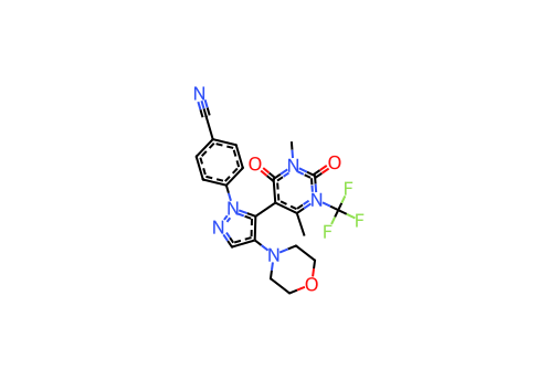 Cc1c(-c2c(N3CCOCC3)cnn2-c2ccc(C#N)cc2)c(=O)n(C)c(=O)n1C(F)(F)F